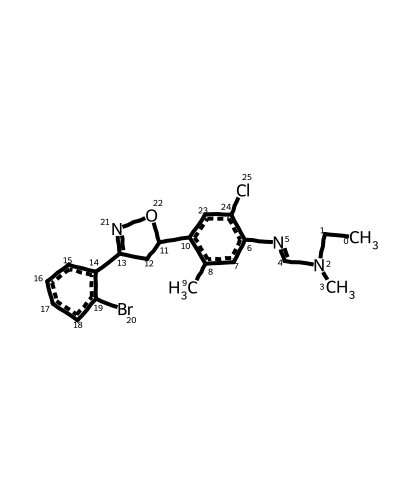 CCN(C)C=Nc1cc(C)c(C2CC(c3ccccc3Br)=NO2)cc1Cl